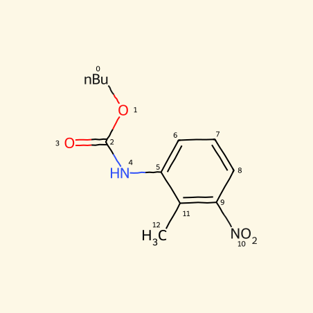 CCCCOC(=O)Nc1cccc([N+](=O)[O-])c1C